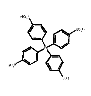 O=S(=O)(O)c1cc[c]([Fe]([c]2ccc(S(=O)(=O)O)cc2)([c]2ccc(S(=O)(=O)O)cc2)[c]2ccc(S(=O)(=O)O)cc2)cc1